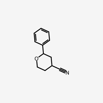 N#CC1CCOC(c2ccccc2)C1